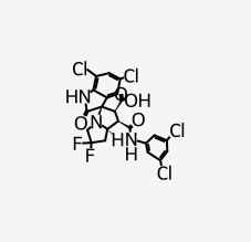 O=C(Nc1cc(Cl)cc(Cl)c1)[C@H]1[C@H]2CC(F)(F)CN2[C@]2(C(=O)Nc3c(Cl)cc(Cl)cc32)[C@H]1C(=O)O